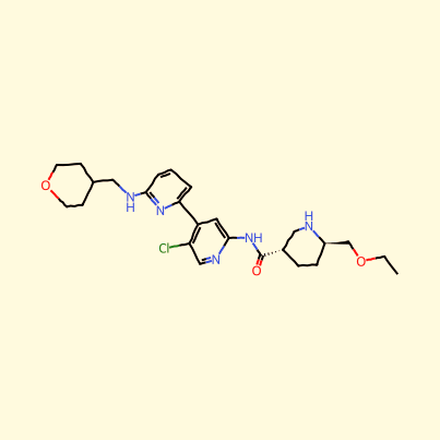 CCOC[C@H]1CC[C@H](C(=O)Nc2cc(-c3cccc(NCC4CCOCC4)n3)c(Cl)cn2)CN1